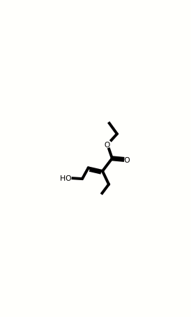 CCOC(=O)C(=CCO)CC